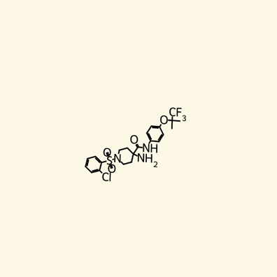 CC(C)(Oc1ccc(NC(=O)C2(N)CCN(S(=O)(=O)c3ccccc3Cl)CC2)cc1)C(F)(F)F